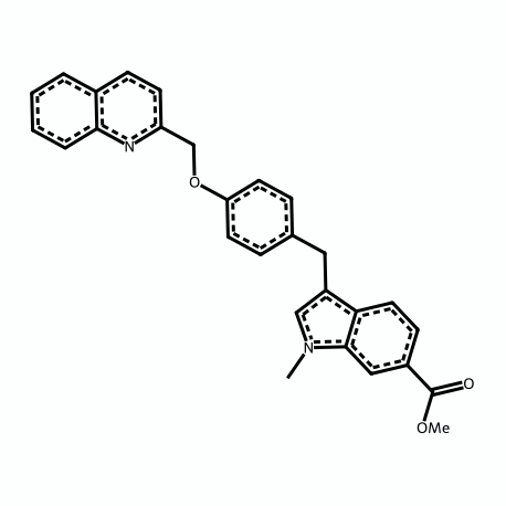 COC(=O)c1ccc2c(Cc3ccc(OCc4ccc5ccccc5n4)cc3)cn(C)c2c1